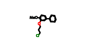 COc1ccc(-c2ccccc2)cc1OCCCCl